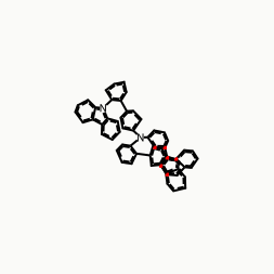 c1cc(-c2cccc3ccccc23)cc(N(c2ccc(-c3ccccc3-n3c4ccccc4c4ccccc43)cc2)c2ccccc2-c2ccc3sc4ccccc4c3c2)c1